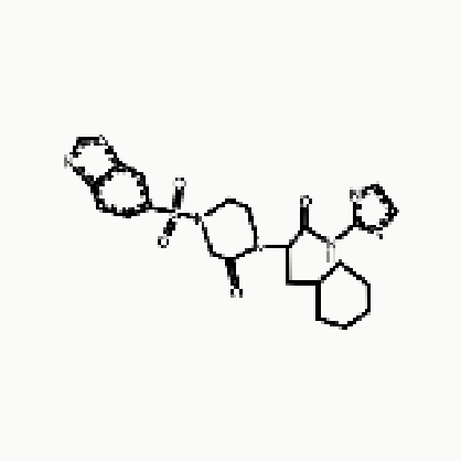 O=C(Nc1nccs1)C(CC1CCCCC1)N1CCN(S(=O)(=O)c2ccc3ncsc3c2)CC1=O